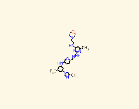 Cc1cn(-c2cc(Nc3ccc(/C=N/Nc4nc(C)cc(NCCN5CCOCC5)n4)nc3)cc(C(F)(F)F)c2)cn1